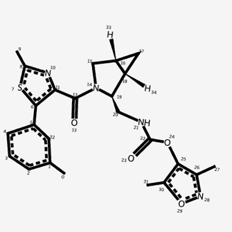 Cc1cccc(-c2sc(C)nc2C(=O)N2C[C@@H]3C[C@@H]3[C@H]2CNC(=O)Oc2c(C)noc2C)c1